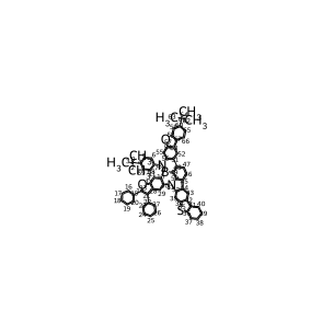 CC(C)(C)c1ccc(N2B3c4cc5oc(-c6ccccc6)c(-c6ccccc6)c5cc4-n4c5cc6sc7ccccc7c6cc5c5ccc(c3c54)-c3cc4c(cc32)oc2cc(C(C)(C)C)ccc24)cc1